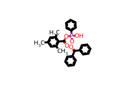 Cc1cc(C)c(C(=O)OP(=O)(O)c2ccccc2)c(C)c1.O=C(c1ccccc1)c1ccccc1